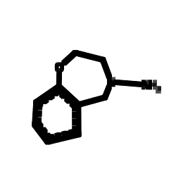 NN1CCOc2ccccc2C1